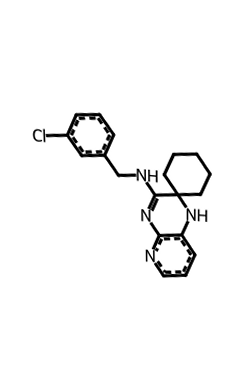 Clc1cccc(CNC2=Nc3ncccc3NC23CCCCC3)c1